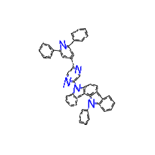 c1ccc(-c2cc(-c3cnc(-n4c5ccccc5c5c4ccc4c6ccccc6n(-c6ccccc6)c45)cn3)cc(-c3ccccc3)n2)cc1